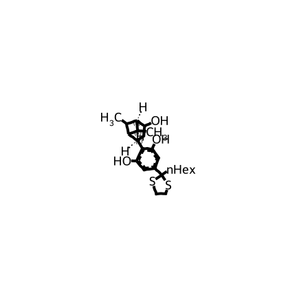 CCCCCCC1(c2cc(O)c([C@@H]3CC(O)[C@@H]4C(C)C3[C@H]4C)c(O)c2)SCCS1